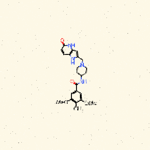 COc1cc(C(=O)NC2CCN(Cc3cc4[nH]c(=O)ccc4[nH]3)CC2)cc(OC)c1C